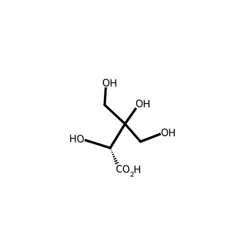 O=C(O)[C@H](O)C(O)(CO)CO